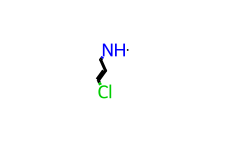 [NH]CC=CCl